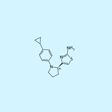 Nc1nc([C@H]2CCCN2c2ccc(C3CC3)cc2)cs1